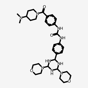 CN(C)C1CCN(C(=O)c2ccc(NC(=O)Nc3ccc(C4NC(N5CCOCC5)NC(N5CCOCC5)N4)cc3)cc2)CC1